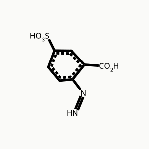 N=Nc1ccc(S(=O)(=O)O)cc1C(=O)O